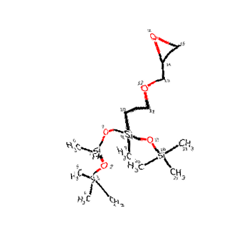 C[SiH](O[Si](C)(C)C)O[Si](C)(CCOCC1CO1)O[Si](C)(C)C